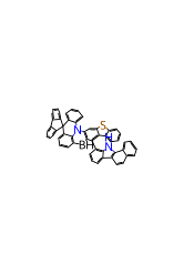 B1c2cccc3c2N(c2ccccc2C32c3ccccc3-c3ccccc32)c2cc3sc4ccccc4c3c(-c3cccc4c3[nH]c3c5ccccc5ccc43)c21